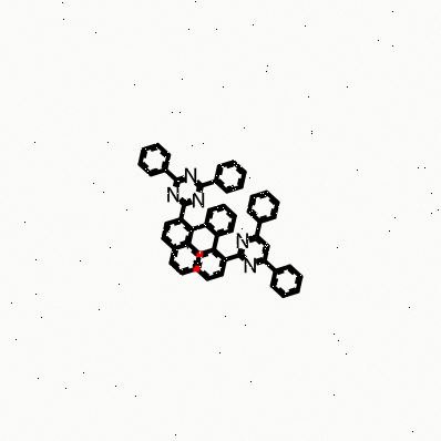 c1ccc(-c2cc(-c3ccccc3)nc(-c3ccccc3-c3ccccc3-c3c(-c4nc(-c5ccccc5)nc(-c5ccccc5)n4)ccc4ccccc34)n2)cc1